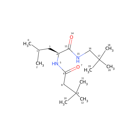 CC(C)C[C@H](NC(=O)CC(C)(C)C)C(=O)NCC(C)(C)C